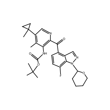 Cc1c(C2(C)CC2)cnc(C(=O)c2ccc(F)c3c2cnn3C2CCCCO2)c1NC(=O)OC(C)(C)C